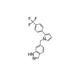 FC(F)(F)c1ccc(-c2cccn2Cc2ccc3cn[nH]c3c2)cc1